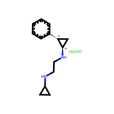 Cl.Cl.c1ccc([C@@H]2C[C@H]2NCCNC2CC2)cc1